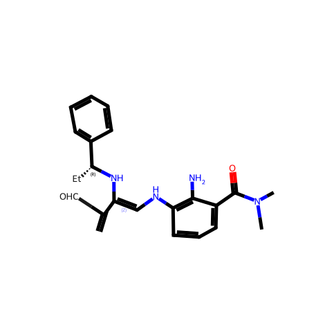 C=C(C=O)/C(=C/Nc1cccc(C(=O)N(C)C)c1N)N[C@H](CC)c1ccccc1